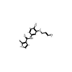 CCC=CCOc1cc(NC(=O)c2ccoc2C)ccc1Cl